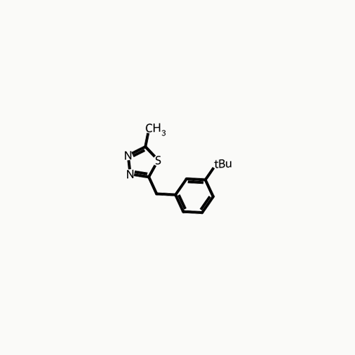 Cc1nnc(Cc2cccc(C(C)(C)C)c2)s1